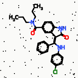 CCCN(CCC)C(=O)c1ccc2c(c1)/C(=C(/Nc1ccc(Cl)cc1)c1ccccc1)C(=O)N2